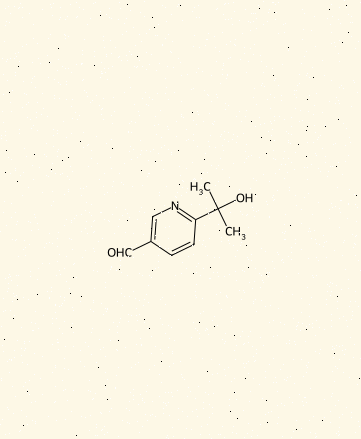 CC(C)(O)c1ccc(C=O)cn1